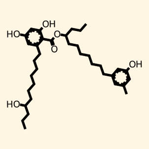 CCCC(O)CCCCCCCc1cc(O)cc(O)c1C(=O)OC(CCC)CCCCCCCc1cc(C)cc(O)c1